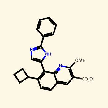 CCOC(=O)c1cc2ccc(C3CCC3)c(-c3cnc(-c4ccccc4)[nH]3)c2nc1OC